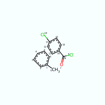 Cc1ccccc1.O=C(Cl)c1ccc(Cl)cc1